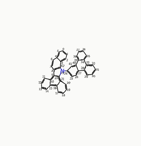 c1ccc2c(c1)ccc1c3c4ccccc4c4ccccc4c3n(-c3ccc4c5ccccc5c5ccccc5c4c3)c21